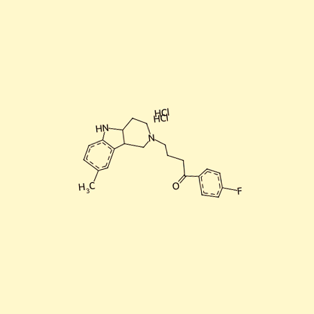 Cc1ccc2c(c1)C1CN(CCCC(=O)c3ccc(F)cc3)CCC1N2.Cl.Cl